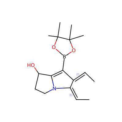 C/C=c1/c(B2OC(C)(C)C(C)(C)O2)c2n(/c1=C/C)CCC2O